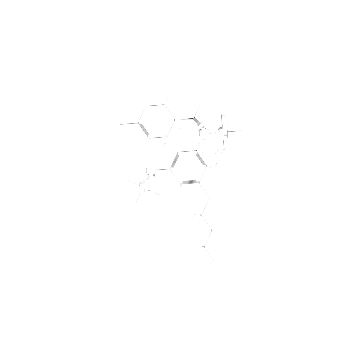 C=C(C)[C@@H]1CCC(C)=C[C@H]1c1c(O[Si](C)(C)C)cc(CCCCC)cc1O[Si](C)(C)C